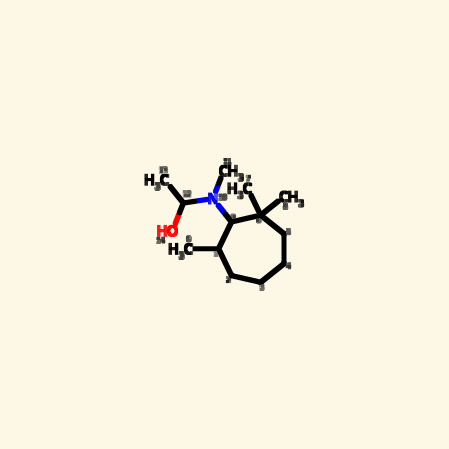 CC1CCCCC(C)(C)C1N(C)C(C)O